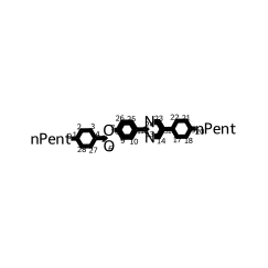 CCCCCC1CCC(C(=O)Oc2ccc(-c3ncc(C4CCC(CCCCC)CC4)cn3)cc2)CC1